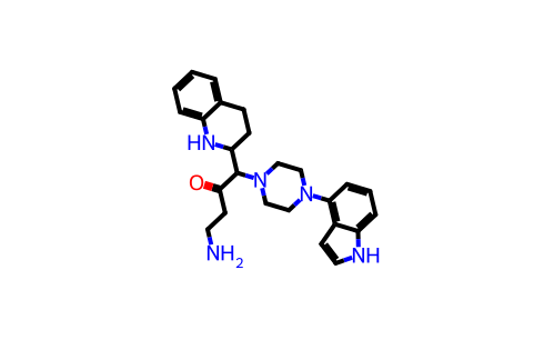 NCCC(=O)C(C1CCc2ccccc2N1)N1CCN(c2cccc3[nH]ccc23)CC1